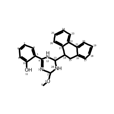 COC1N=C(c2ccccc2O)NC(C2Cc3ccccc3-c3ccccc32)N1